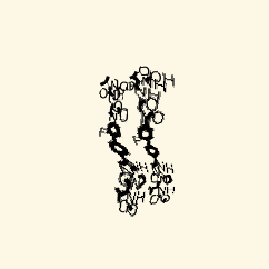 COC(=O)N[C@H](C(=O)N1CCC[C@H]1c1ncc(-c2ccc(-c3ccc(N4C[C@H](CNC(=O)[C@@H](NC(=O)O)C(C)C)OC4=O)cc3F)cc2)[nH]1)C(C)C.COC(=O)N[C@H](C(=O)N1CCC[C@H]1c1ncc(-c2ccc(-c3ccc(N4C[C@H](CNC(=O)[C@H](C(C)C)N(C)C(=O)O)OC4=O)cc3F)cc2)[nH]1)C(C)C